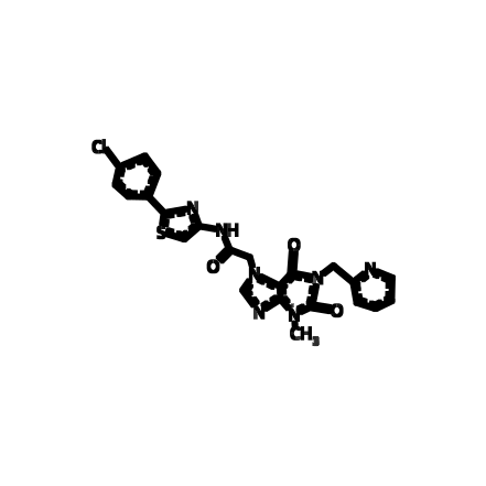 Cn1c(=O)n(Cc2ccccn2)c(=O)c2c1ncn2CC(=O)Nc1csc(-c2ccc(Cl)cc2)n1